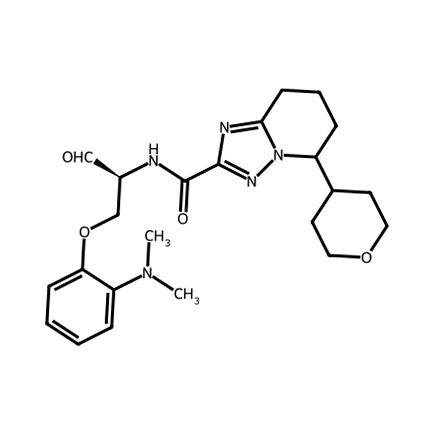 CN(C)c1ccccc1OC[C@@H](C=O)NC(=O)c1nc2n(n1)C(C1CCOCC1)CCC2